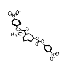 C[C@@]1(C(=O)Oc2ccc([N+](=O)[O-])cc2)CC/C=C/[C@H](OC(=O)Oc2ccc([N+](=O)[O-])cc2)CC1